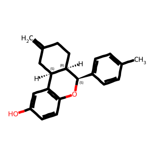 C=C1CC[C@@H]2[C@H](C1)c1cc(O)ccc1O[C@@H]2c1ccc(C)cc1